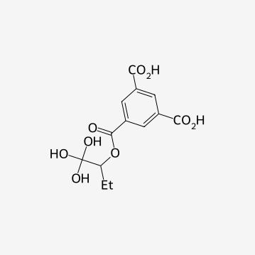 CCC(OC(=O)c1cc(C(=O)O)cc(C(=O)O)c1)C(O)(O)O